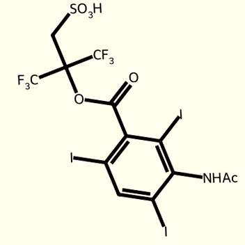 CC(=O)Nc1c(I)cc(I)c(C(=O)OC(CS(=O)(=O)O)(C(F)(F)F)C(F)(F)F)c1I